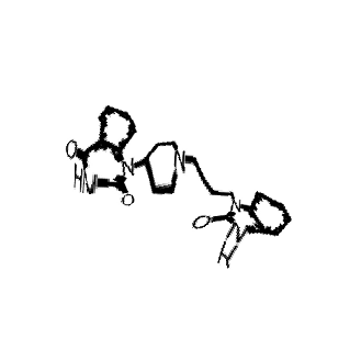 O=c1[nH]c(=O)n(C2CCN(CCCn3c(=O)[nH]c4ccccc43)CC2)c2ccccc12